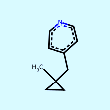 CC1(Cc2ccncc2)CC1